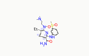 CCC1=C(N(C)CCN(C)C)/N=C(Nc2cccc(S(C)(=O)=O)c2)\C(C(N)=O)=C\C=C\1